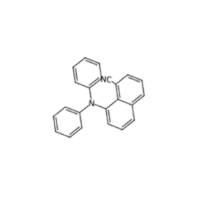 N#Cc1cccc2cccc(N(c3ccccc3)c3ccccc3)c12